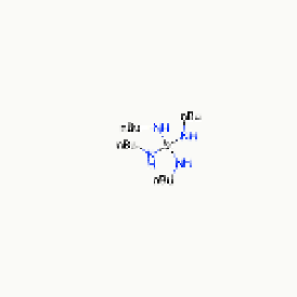 CCCCN[Si](NCCCC)(NCCCC)NCCCC